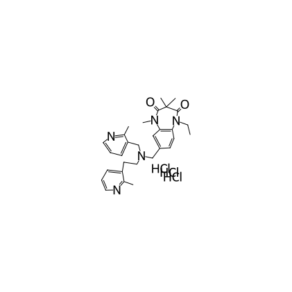 CCN1C(=O)C(C)(C)C(=O)N(C)c2cc(CN(CCc3cccnc3C)Cc3cccnc3C)ccc21.Cl.Cl.Cl